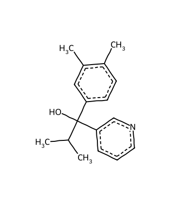 Cc1ccc(C(O)(c2cccnc2)C(C)C)cc1C